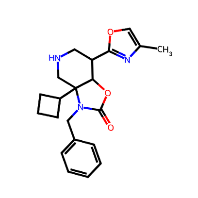 Cc1coc(C2CNCC3(C4CCC4)C2OC(=O)N3Cc2ccccc2)n1